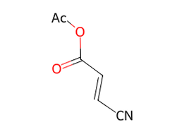 CC(=O)OC(=O)C=CC#N